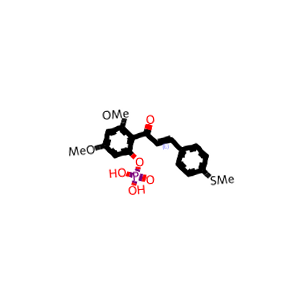 COc1cc(OC)c(C(=O)/C=C/c2ccc(SC)cc2)c(OP(=O)(O)O)c1